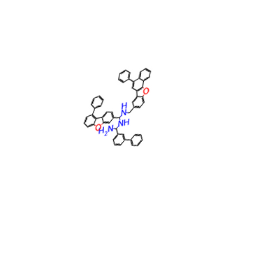 NC(NC(NCc1ccc2oc3c4ccccc4c(-c4ccccc4)cc3c2c1)c1ccc2c(c1)oc1cccc(-c3ccccc3)c12)c1cccc(-c2ccccc2)c1